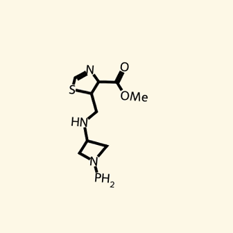 COC(=O)C1N=CSC1CNC1CN(P)C1